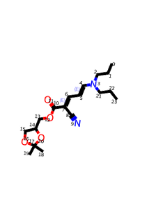 CCCN(/C=C/C=C(\C#N)C(=O)OCC1COC(C)(C)O1)CCC